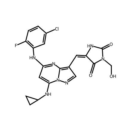 O=C1N/C(=C/c2cnn3c(NC4CC4)cc(Nc4cc(Cl)ccc4F)nc23)C(=O)N1CO